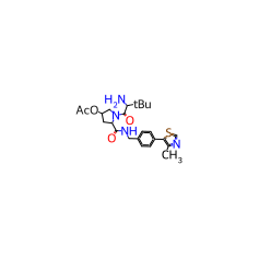 CC(=O)OC1CC(C(=O)NCc2ccc(-c3scnc3C)cc2)N(C(=O)C(N)C(C)(C)C)C1